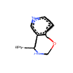 CC(C)C1NCOc2ccncc21